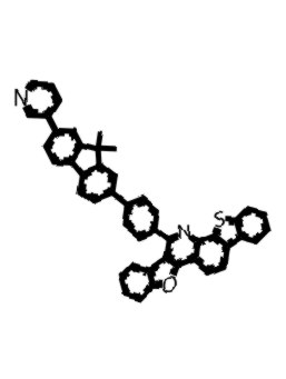 CC1(C)c2cc(-c3ccc(-c4nc5c(ccc6c7ccccc7sc65)c5oc6ccccc6c45)cc3)ccc2-c2ccc(-c3cccnc3)cc21